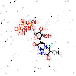 Cc1c(F)n2cc([C@@H]3O[C@H](COP(=O)(O)OP(=O)(O)OP(=O)(O)O)C(O)[C@@H]3O)c(=O)nc2[nH]c1=O